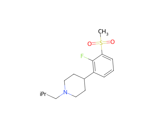 CC(C)CN1CCC(c2cccc(S(C)(=O)=O)c2F)CC1